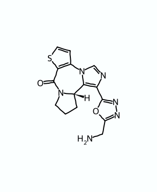 NCc1nnc(-c2ncn3c2[C@@H]2CCCN2C(=O)c2sccc2-3)o1